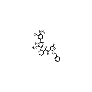 CC(NC(=O)c1ccc(N)c(Cl)c1)C(=O)N1CCCCC1C(=O)NC1CC(=O)OC1OCc1ccccc1